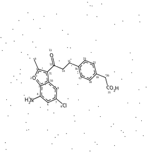 Cc1oc2c(N)cc(Cl)cc2c1C(=O)CCc1ccc(CC(=O)O)cc1